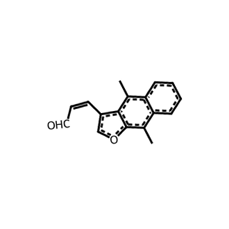 Cc1c2ccccc2c(C)c2c(/C=C\C=O)coc12